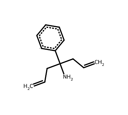 C=CCC(N)(CC=C)c1[c]cccc1